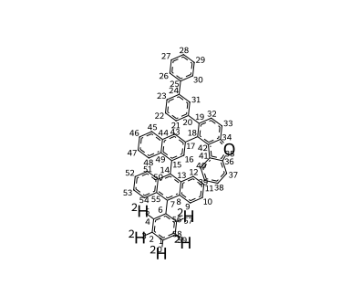 [2H]c1c([2H])c([2H])c(-c2c3ccccc3c(-c3cc(-c4c(-c5cccc(-c6ccccc6)c5)ccc5oc6ccccc6c45)cc4ccccc34)c3ccccc23)c([2H])c1[2H]